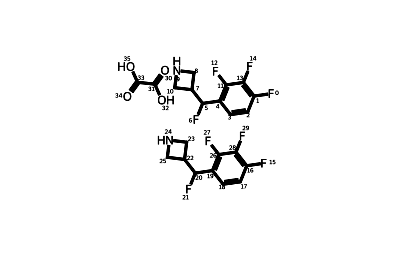 Fc1ccc(C(F)C2CNC2)c(F)c1F.Fc1ccc(C(F)C2CNC2)c(F)c1F.O=C(O)C(=O)O